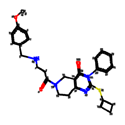 O=C(CCNCc1ccc(OC(F)(F)F)cc1)N1CCc2nc(SC3CCC3)n(-c3ccccc3)c(=O)c2C1